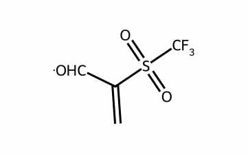 C=C([C]=O)S(=O)(=O)C(F)(F)F